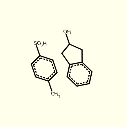 Cc1ccc(S(=O)(=O)O)cc1.OC1Cc2ccccc2C1